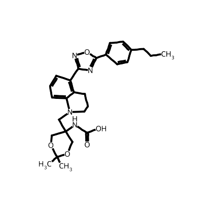 CCCc1ccc(-c2nc(-c3cccc4c3CCCN4CC3(NC(=O)O)COC(C)(C)OC3)no2)cc1